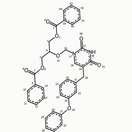 O=C(OCC(COC(=O)c1ccccc1)OCn1cc(Cc2cccc(Oc3ccccc3)c2)c(=O)[nH]c1=O)c1ccccc1